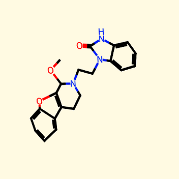 COC1c2oc3ccccc3c2CCN1CCn1c(=O)[nH]c2ccccc21